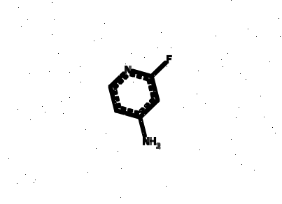 Nc1ccnc(F)c1